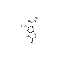 COC(=O)c1cc2c(cc1C)NC(=O)CC2